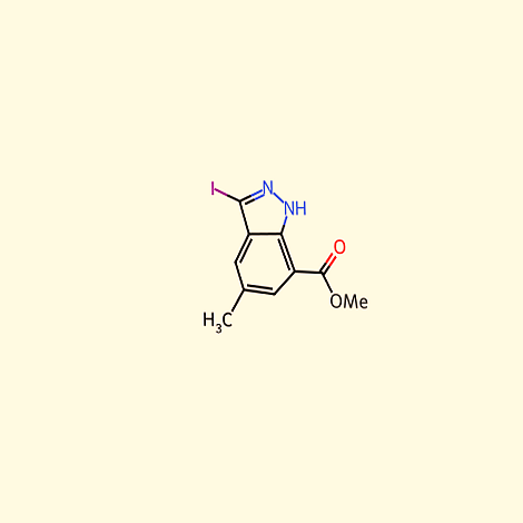 COC(=O)c1cc(C)cc2c(I)n[nH]c12